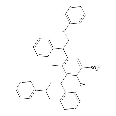 Cc1c(C(CC(C)c2ccccc2)c2ccccc2)cc(S(=O)(=O)O)c(O)c1C(CC(C)c1ccccc1)c1ccccc1